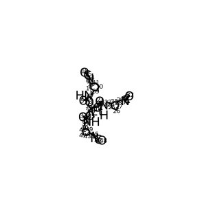 CCC(COC(=O)NCC1CCCC(CN=C=O)C1)(COC(=O)NCC1CCCC(CN=C=O)C1)COC(=O)NCC1CCCC(CN=C=O)C1